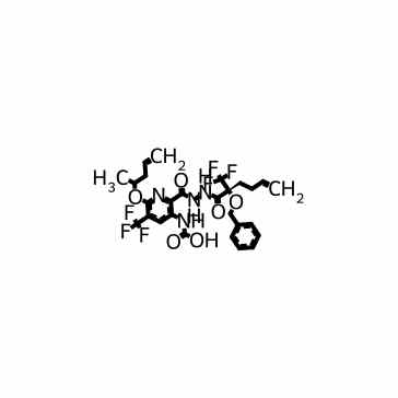 C=CCC[C@@](OCc1ccccc1)(C(=O)NNC(=O)c1nc(OC(C)CC=C)c(C(F)(F)F)cc1NC(=O)O)C(F)(F)F